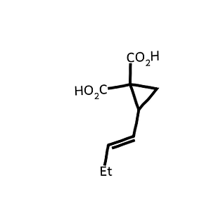 CCC=CC1CC1(C(=O)O)C(=O)O